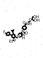 CCOc1cc(-c2ccc(F)cc2)c(C2CC2)cc1CN1CCC2(CC1)CN(c1ccc(C(=O)NCCOC(CO)CO)cc1)C(=O)N2